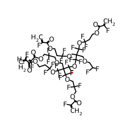 C=C(F)C(=O)OCCC(F)(F)OCC(COCC(F)F)(C(F)(F)OC(F)(F)CCOC(=O)C(=C)F)C(F)(F)OC(F)(F)C(COCC(F)(F)COC(=O)C(=C)F)(C(F)(F)OCC(F)(F)COC(=O)C(=C)F)C(F)(F)OC(F)(F)CCOC(=O)C(=C)F